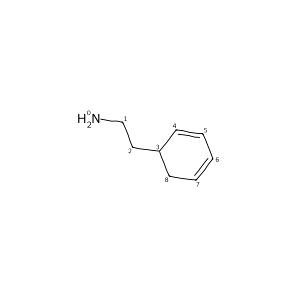 NCCC1C=CC=CC1